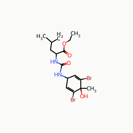 CCOC(=O)C(CC(C)C)NC(=O)NC1C=C(Br)C(C)(O)C(Br)=C1